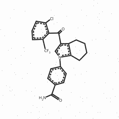 NC(=O)c1ccc(-n2cc(C(=O)c3c(Cl)cccc3C(F)(F)F)c3c2CCCC3)cc1